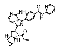 C=CC(=O)N1[C@@H]2COC[C@@H]2C[C@H]1c1nc(-c2ccc(C(=O)Nc3ccccn3)cc2)c2c(N)nccn12